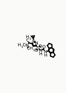 CC(c1cc(S(=O)(=O)NC(=O)Nc2c3c(cc4c2CCC4)CCC3)nn1C1CC1)N(C)C